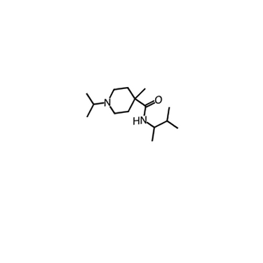 CC(C)C(C)NC(=O)C1(C)CCN(C(C)C)CC1